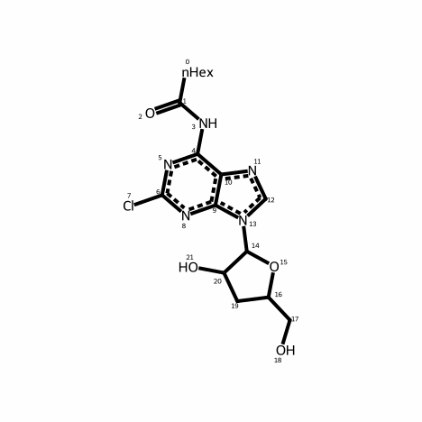 CCCCCCC(=O)Nc1nc(Cl)nc2c1ncn2C1OC(CO)CC1O